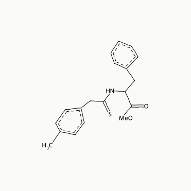 COC(=O)C(Cc1ccccc1)NC(=S)Cc1ccc(C)cc1